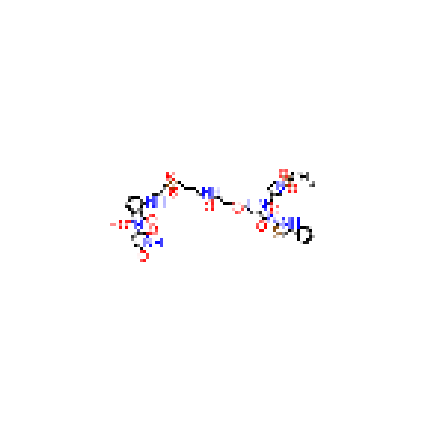 CS(=O)(=O)N1CCC(C(=O)N[C@@H](CCOCCCC(=O)NCCCCS(=O)(=O)CCCNc2cccc3c2C(=O)N(C2CCC(=O)NC2=O)C3O)C(=O)NC2NC(c3ccccc3)CS2)C1